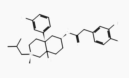 CC(C)C[N@+]1(C)CC[C@]2(c3cccc(O)c3)C[C@@H](NC(=O)Cc3ccc(Cl)c(Cl)c3)CCC2(O)C1